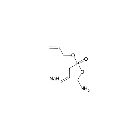 C=CCOP(=O)(CC=C)OCN.[NaH]